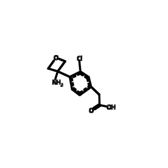 NC1(c2ccc(CC(=O)O)cc2Cl)COC1